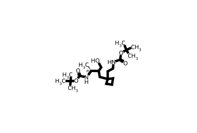 C[C@@H](NC(=O)OC(C)(C)C)C(CO)CC1(CCNC(=O)OC(C)(C)C)CCC1